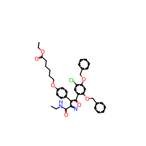 CCNC(=O)c1noc(-c2cc(Cl)c(OCc3ccccc3)cc2OCc2ccccc2)c1-c1ccc(OCCCCCC(=O)OCC)cc1